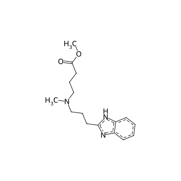 COC(=O)CCCN(C)CCCc1nc2ccccc2[nH]1